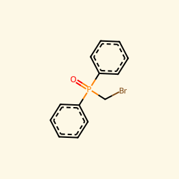 O=P(CBr)(c1ccccc1)c1ccccc1